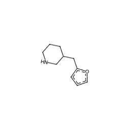 c1coc(CC2CCCNC2)c1